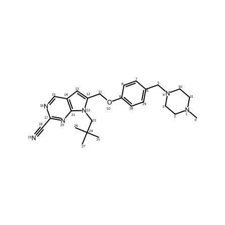 CN1CCN(Cc2ccc(OCc3cc4cnc(C#N)nc4n3CC(C)(C)C)cc2)CC1